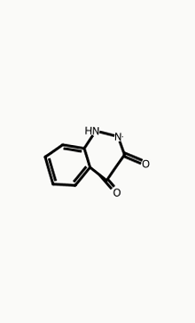 O=C1[N]Nc2ccccc2C1=O